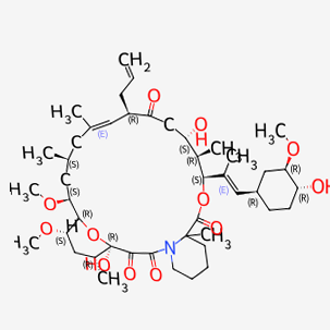 C=CC[C@@H]1/C=C(\C)C[C@H](C)C[C@H](OC)[C@H]2O[C@@](O)(C(=O)C(=O)N3CCCCC3(C)C(=O)O[C@H](/C(C)=C/[C@@H]3CC[C@@H](O)[C@H](OC)C3)[C@H](C)[C@@H](O)CC1=O)[C@H](C)C[C@@H]2OC